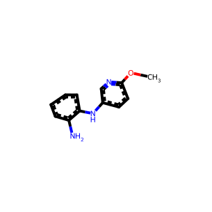 COc1ccc(Nc2ccccc2N)cn1